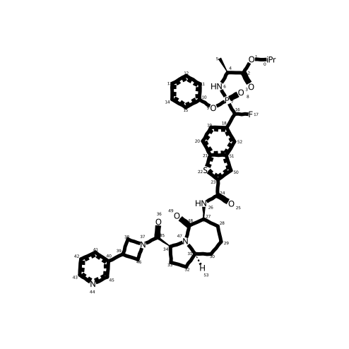 CC(C)OC(=O)[C@H](C)NP(=O)(Oc1ccccc1)C(F)c1ccc2sc(C(=O)N[C@H]3CCC[C@H]4CC[C@@H](C(=O)N5CC(c6cccnc6)C5)N4C3=O)cc2c1